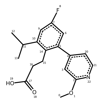 COc1cc(-c2cc(F)cc(C(C)C)c2CCC(=O)O)ccn1